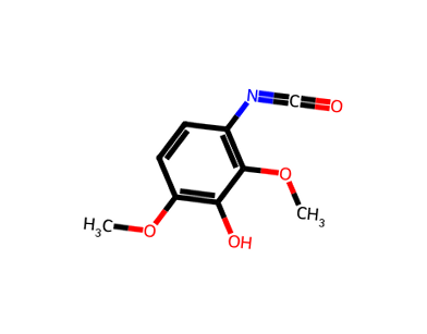 COc1ccc(N=C=O)c(OC)c1O